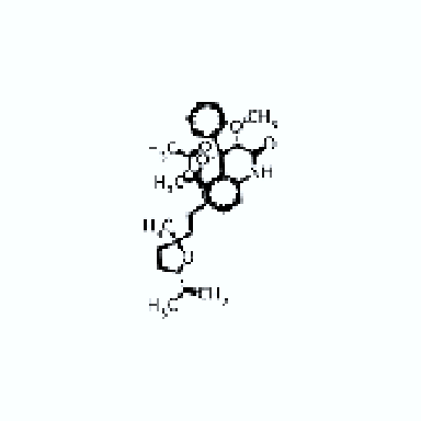 C=C(C)[C@@H]1CC[C@](C)(/C=C/c2ccc3c(c2OC(C)=O)[C@@](OC(C)=O)(c2ccccc2)[C@H](OC)C(=O)N3)O1